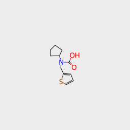 O=C(O)N(Cc1cccs1)C1CCCC1